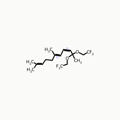 CC(C)=CCC/C(C)=C/C=C\C(C)(OCC(F)(F)F)OCC(F)(F)F